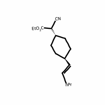 CCCC=C[C@H]1CC[C@H](C(C#N)C(=O)OCC)CC1